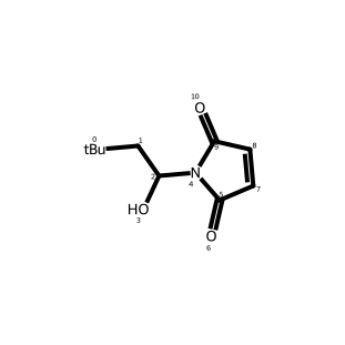 CC(C)(C)CC(O)N1C(=O)C=CC1=O